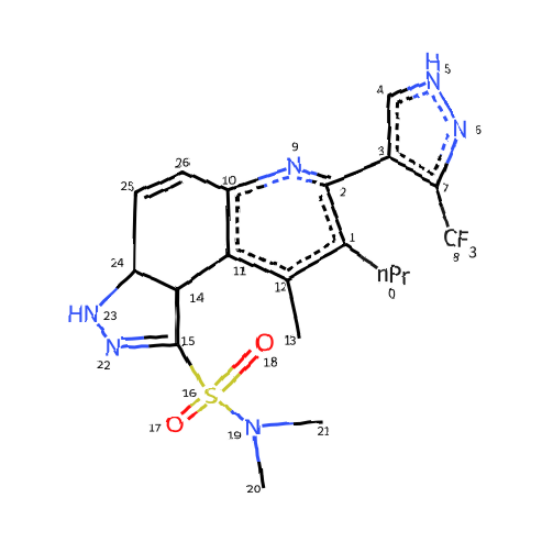 CCCc1c(-c2c[nH]nc2C(F)(F)F)nc2c(c1C)C1C(S(=O)(=O)N(C)C)=NNC1C=C2